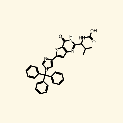 CC(C)C(NC(=O)O)c1nc2cc(-c3cn(C(c4ccccc4)(c4ccccc4)c4ccccc4)cn3)sc2c(=O)[nH]1